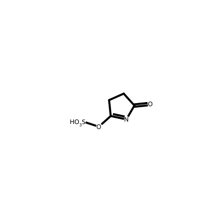 O=C1CCC(OS(=O)(=O)O)=N1